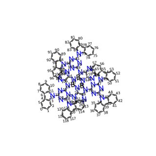 c1ccc2c(c1)c1ccccc1n2-c1nc(N2B3N(B4N(B5N3c3nccnc3N5c3nc(-n5c6ccccc6c6ccccc65)nc(-n5c6ccccc6c6ccccc65)n3)c3nccnc3N4c3nc(-n4c5ccccc5c5ccccc54)nc(-n4c5ccccc5c5ccccc54)n3)c3nccnc32)nc(-n2c3ccccc3c3ccccc32)n1